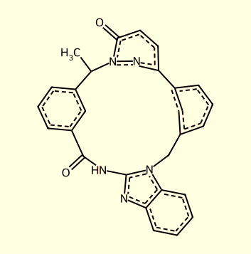 CC1c2cccc(c2)C(=O)Nc2nc3ccccc3n2Cc2cccc(c2)-c2ccc(=O)n1n2